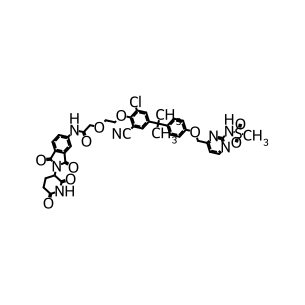 CC(C)(c1ccc(OCc2ccnc(NS(C)(=O)=O)n2)cc1)c1cc(Cl)c(OCCOCC(=O)Nc2ccc3c(c2)C(=O)N(C2CCC(=O)NC2=O)C3=O)c(C#N)c1